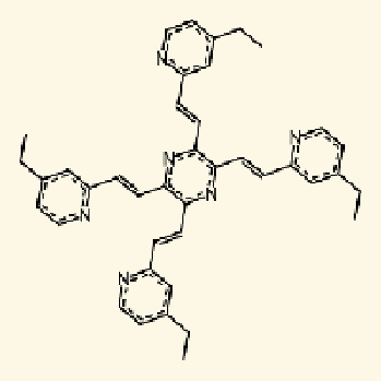 CCc1ccnc(C=Cc2nc(C=Cc3cc(CC)ccn3)c(C=Cc3cc(CC)ccn3)nc2C=Cc2cc(CC)ccn2)c1